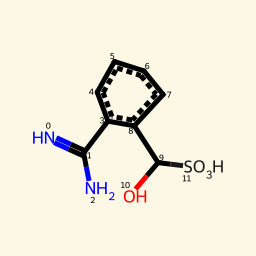 N=C(N)c1ccccc1C(O)S(=O)(=O)O